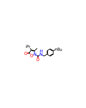 CCCCc1ccc(CNC(=O)n2oc(=O)c(C(C)C)c2C)cc1